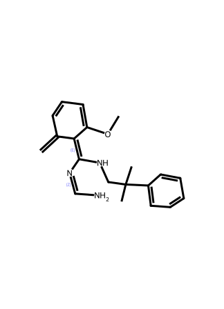 C=c1cccc(OC)/c1=C(/N=C\N)NCC(C)(C)c1ccccc1